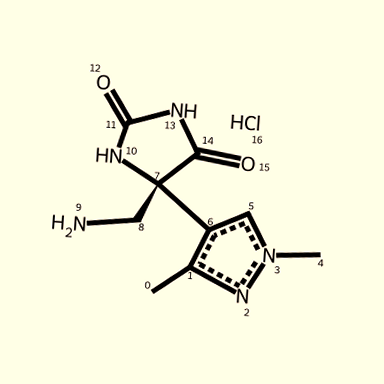 Cc1nn(C)cc1[C@]1(CN)NC(=O)NC1=O.Cl